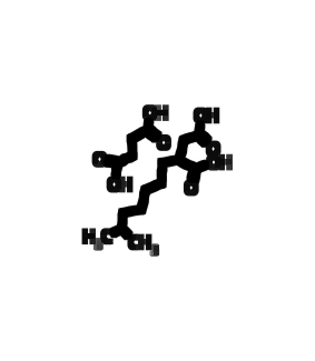 CC(C)CCCCCC(CC(=O)O)C(=O)O.O=C(O)CCC(=O)O